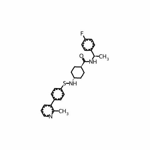 Cc1ncccc1-c1ccc(SN[C@H]2CC[C@H](C(=O)N[C@H](C)c3ccc(F)cc3)CC2)cc1